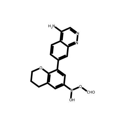 Nc1cnnc2cc(-c3cc(B(O)OC=O)cc4c3OCCC4)ccc12